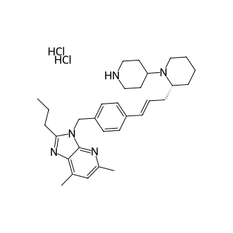 CCCc1nc2c(C)cc(C)nc2n1Cc1ccc(/C=C/C[C@H]2CCCCN2C2CCNCC2)cc1.Cl.Cl